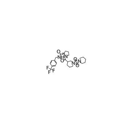 O=C(NCc1ccc(C(F)(F)F)cc1)[C@H]1CCCN1C(=O)C1CCCN(S(=O)(=O)N2CCCCC2)C1